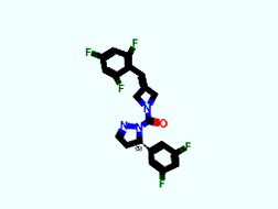 O=C(N1CC(=Cc2c(F)cc(F)cc2F)C1)N1N=CC[C@H]1c1cc(F)cc(F)c1